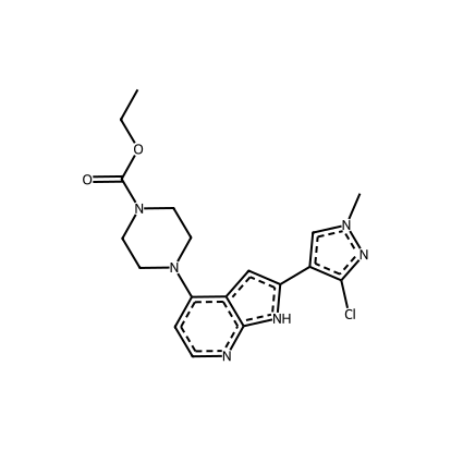 CCOC(=O)N1CCN(c2ccnc3[nH]c(-c4cn(C)nc4Cl)cc23)CC1